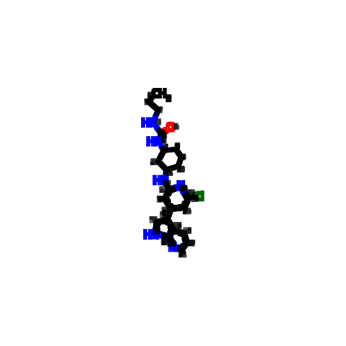 CCCNC(=O)NC1CCCC(Nc2cc(-c3c[nH]c4ncccc34)cc(Cl)n2)C1